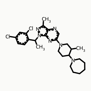 Cc1nn(C(C)c2ccc(Cl)cc2Cl)c2nc(N3CCC(N4CCCCCC4)C(C)C3)cnc12